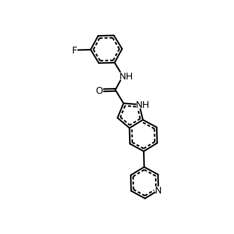 O=C(Nc1cccc(F)c1)c1cc2cc(-c3cccnc3)ccc2[nH]1